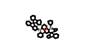 c1ccc(N(c2ccc3c(c2)C2(c4ccccc4-c4ccccc42)c2ccccc2-3)c2ccccc2-c2ccc3c(c2)C2(c4ccccc4-c4ccccc42)c2ccccc2N3c2ccccc2)cc1